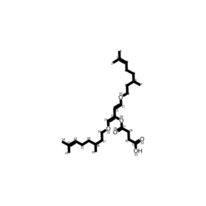 CC(C)=CCCC(C)CCOC=CC(=COCCC(C)CCC=C(C)C)OC(=O)CCC(=O)O